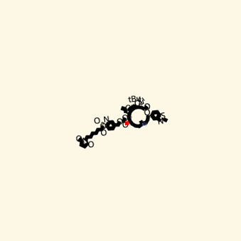 C=CC[C@H]1C(=O)C(C)(C)[C@@H](O[Si](C)(C)C(C)(C)C)CC(=O)O[C@H](c2ccc3sc(C)nc3c2)C/C=C(\C)CCC[C@H](C)[C@@H]1OC(=O)OCc1ccc(OC(=O)CCCCCN2C(=O)C=CC2=O)c([N+](=O)[O-])c1